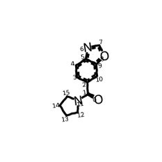 O=C(c1ccc2ncoc2c1)N1CCCC1